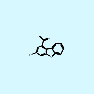 CC(=O)c1cc(Br)cc2oc3ccccc3c12